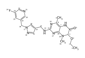 CCOC1C(=O)Nc2c(C)nc(NCc3cnn(Cc4cncc(F)c4)c3)nc2N1C